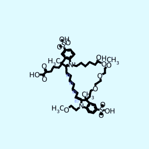 COCCOCCOCCC1(C)\C(=C/C=C/C=C/C=C/C2=[N+](CCCCCC(=O)O)c3ccc(S(=O)(=O)O)cc3C2(C)CCCC(=O)C(=O)O)N(CCOC)c2ccc(S(=O)(=O)O)cc21